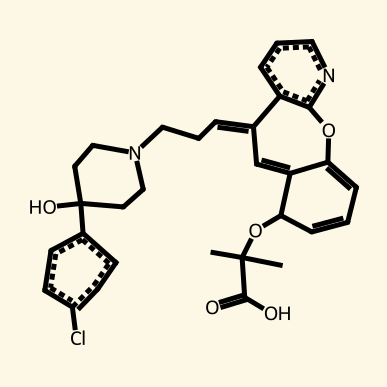 CC(C)(OC1C=CC=C2Oc3ncccc3C(=CCCN3CCC(O)(c4ccc(Cl)cc4)CC3)C=C21)C(=O)O